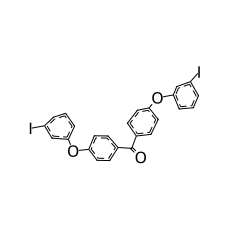 O=C(c1ccc(Oc2cccc(I)c2)cc1)c1ccc(Oc2cccc(I)c2)cc1